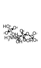 N.N.O=S(=O)(O)O.O=S(=O)(O)OS(=O)(=O)OO